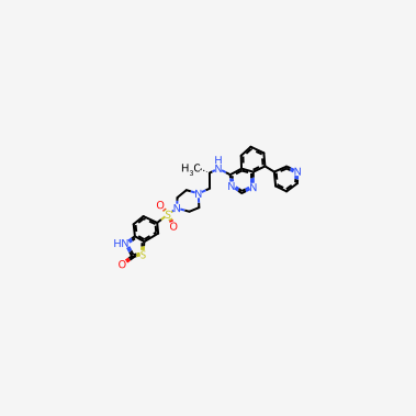 C[C@@H](CN1CCN(S(=O)(=O)c2ccc3[nH]c(=O)sc3c2)CC1)Nc1ncnc2c(-c3cccnc3)cccc12